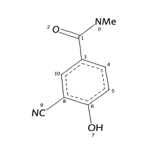 CNC(=O)c1ccc(O)c(C#N)c1